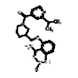 CC(C)c1cc(C(=O)N2CCCC(COc3cccc4c3C(N)=N[S+]([O-])N4)C2)ccn1